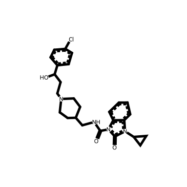 O=C(NCC1CCN(CCC(O)c2ccc(Cl)cc2)CC1)n1c(=O)n(C2CC2)c2ccccc21